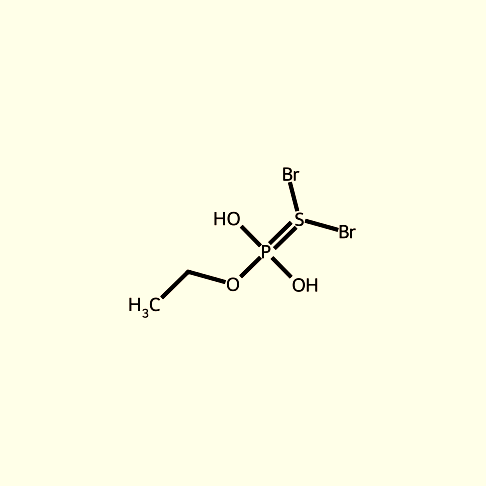 CCOP(O)(O)=S(Br)Br